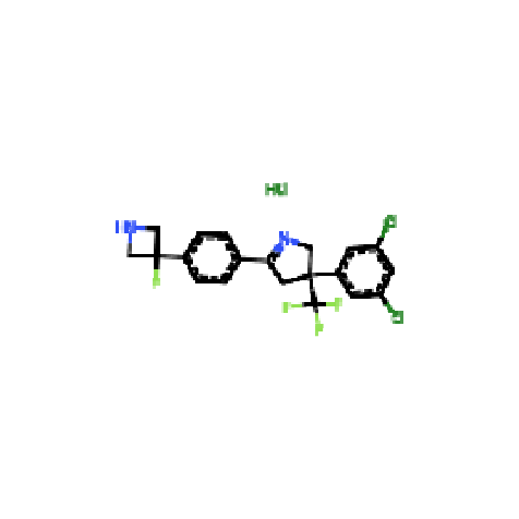 Cl.FC1(c2ccc(C3=NCC(c4cc(Cl)cc(Cl)c4)(C(F)(F)F)C3)cc2)CNC1